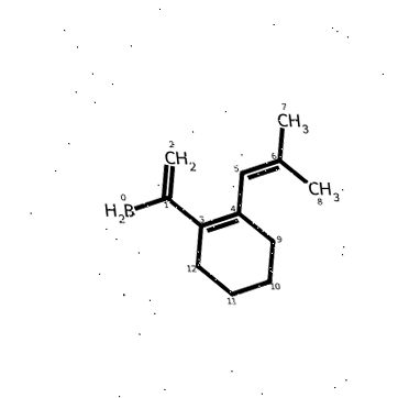 BC(=C)C1=C(C=C(C)C)CCCC1